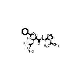 CC(C)C[C@H](NC(=O)C1CCCCC1)C(=O)C(=O)NN=C1SCCN1C(C)C.Cl